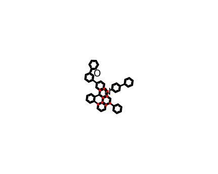 c1ccc(Cc2ccccc2-c2ccccc2-c2ccccc2Cc2cccc(N(c3ccc(-c4ccccc4)cc3)c3ccc(-c4cccc5c4oc4ccccc45)cc3)c2)cc1